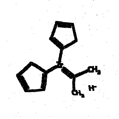 C[C](C)=[Zr]([C]1=CC=CC1)[C]1=CC=CC1.[H-]